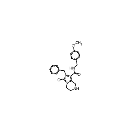 COc1ccc(CNC(=O)c2c3n(c(=O)n2Cc2ccccc2)CCNC3)cc1